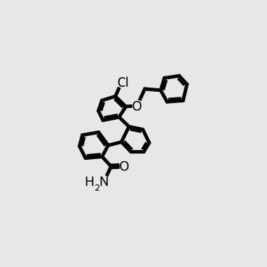 NC(=O)c1ccccc1-c1ccccc1-c1cccc(Cl)c1OCc1ccccc1